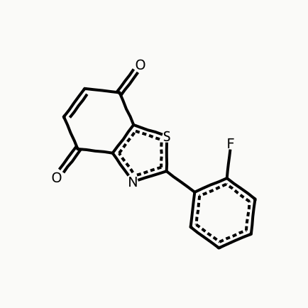 O=C1C=CC(=O)c2sc(-c3ccccc3F)nc21